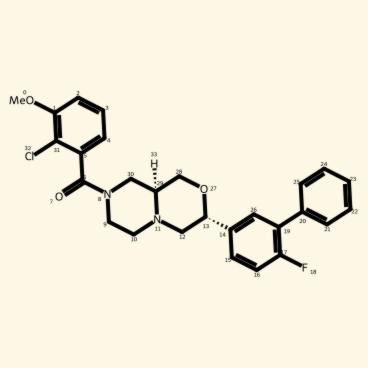 COc1cccc(C(=O)N2CCN3C[C@@H](c4ccc(F)c(-c5ccccc5)c4)OC[C@@H]3C2)c1Cl